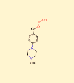 O=CN1CCN(c2cc[c]([Ge][O]OO)cc2)CC1